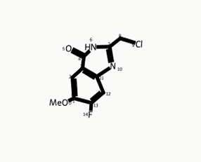 COc1cc2c(=O)[nH]c(CCl)nc2cc1F